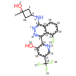 CC1(O)CC(Nc2nnc(-c3ncc(C(F)(F)F)cc3O)c3c(F)cccc23)C1